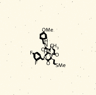 COc1ccc(CNC(=O)N2[C@H]3CN(Cc4ccc(F)cc4F)C(=O)[C@H](CCSC)N3C(=O)CN2C)cc1